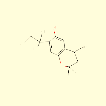 CC(C)C1CC(C)(C)Oc2cc(C(C)(C)CC(C)(C)C)c(O)cc21